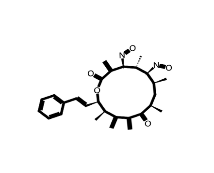 C=C1C(=C)[C@@H](C)[C@@H](/C=C/c2ccccc2)OC(=O)C(=C)[C@@H](N=O)[C@H](C)[C@@H](N=O)[C@@H](C)C[C@@H](C)C1=O